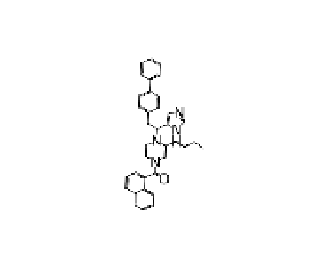 CCCC[C@H]1CN(C(=O)c2cccc3ccccc23)CCN1C(Cc1ccc(-c2ccccc2)cc1)c1cnc[nH]1